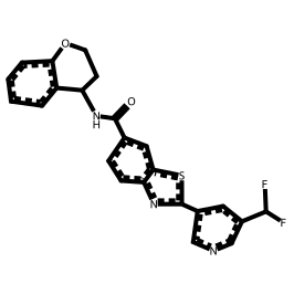 O=C(NC1CCOc2ccccc21)c1ccc2nc(-c3cncc(C(F)F)c3)sc2c1